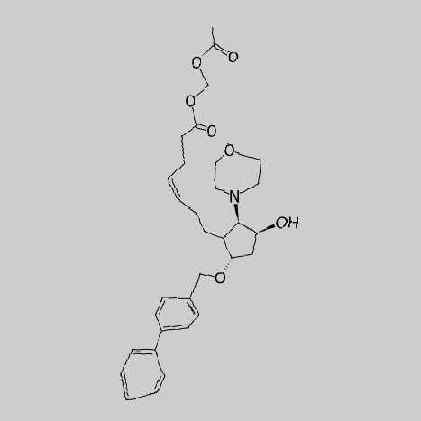 CC(=O)OCOC(=O)CC/C=C\CCC1[C@@H](OCc2ccc(-c3ccccc3)cc2)C[C@H](O)[C@@H]1N1CCOCC1